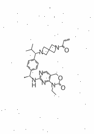 C=CC(=O)N1CC2(C1)CN(C(c1ccc([C@H](C)Nc3ncc4c(n3)N(CC)C(=O)OC4)cc1)C(C)C)C2